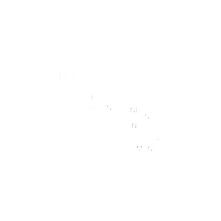 CNC(=O)c1cnc(N[C@@H]2CCN(C(=O)O[C@H]3C4CC5CC3C[C@](O)(C5)C4)C2)nc1